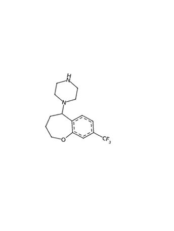 FC(F)(F)c1ccc2c(c1)OCCCC2N1CCNCC1